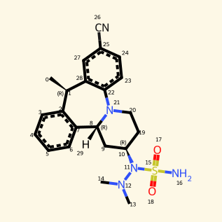 C[C@@H]1c2ccccc2[C@H]2C[C@H](N(N(C)C)S(N)(=O)=O)CCN2c2ccc(C#N)cc21